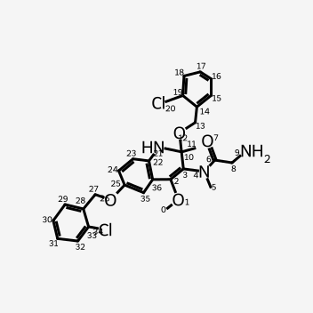 COC1=C(N(C)C(=O)CN)C(C)(OCc2ccccc2Cl)Nc2ccc(OCc3ccccc3Cl)cc21